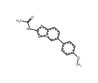 COc1ccc(-c2ccc3nc(NC(C)=O)nn3c2)cc1